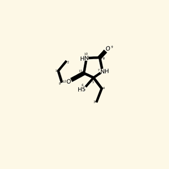 CCC.CCC1(S)NC(=O)NC1=O